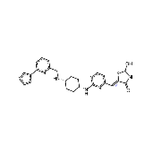 O=C1NC(O)S/C1=C\c1ccnc(N[C@H]2CC[C@@H](NCc3cccc(-c4ccsc4)n3)CC2)n1